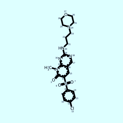 Cn1c(=O)c(S(=O)(=O)c2ccc(Cl)cc2)cc2cnc(NCCCN3CCOCC3)nc21